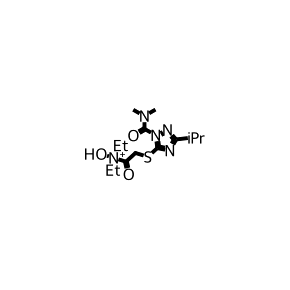 CC[N+](O)(CC)C(=O)CSc1nc(C(C)C)nn1C(=O)N(C)C